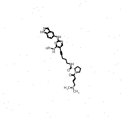 CCCNc1nc(Nc2ccc3[nH]ncc3c2)ncc1C#CCCCNC(=O)[C@@H]1CCCN1C(=O)/C=C/CN(C)C